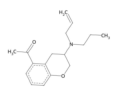 C=CCN(CCC)C1COc2cccc(C(C)=O)c2C1